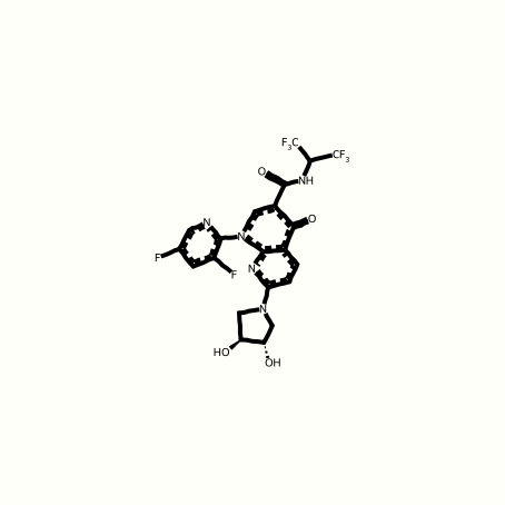 O=C(NC(C(F)(F)F)C(F)(F)F)c1cn(-c2ncc(F)cc2F)c2nc(N3C[C@H](O)[C@@H](O)C3)ccc2c1=O